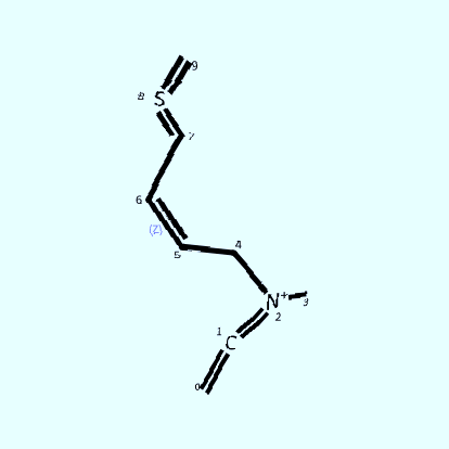 C=C=[N+](C)C/C=C\C=S=C